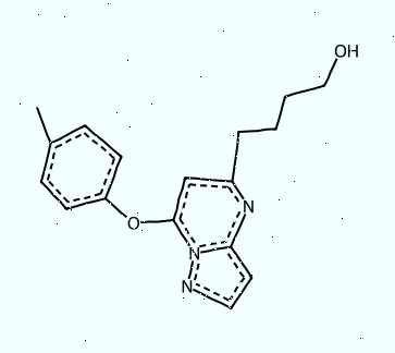 Cc1ccc(Oc2cc(CCCCO)nc3ccnn23)cc1